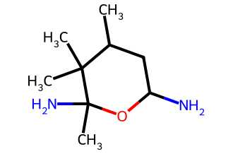 CC1CC(N)OC(C)(N)C1(C)C